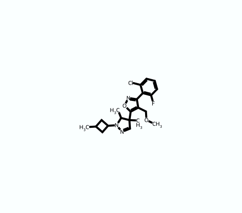 COCc1c(-c2c(F)cccc2Cl)noc1C1(C)C=NN(C2CC(C)C2)C1C